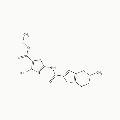 CCOC(=O)C1=C(C)N=C(NC(=O)C2=CC3=C(CCC(C)C3)C2)C1